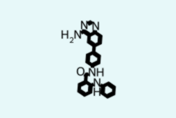 Nc1ncnc2ccc(-c3ccc(NC(=O)c4ccccc4Nc4ccccc4)cc3)cc12